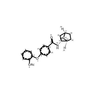 CC(=O)Oc1ccccc1Oc1ccc(C(=O)N[C@@H]2C[C@H]3CC[C@@H]2N3)cc1